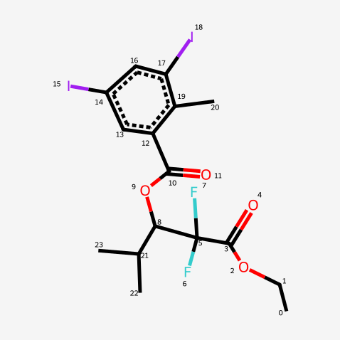 CCOC(=O)C(F)(F)C(OC(=O)c1cc(I)cc(I)c1C)C(C)C